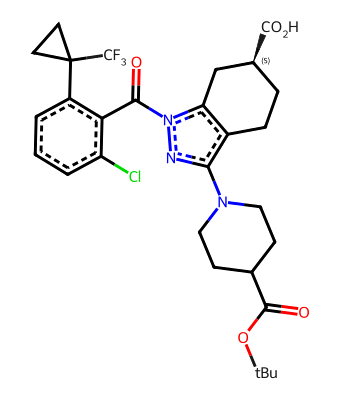 CC(C)(C)OC(=O)C1CCN(c2nn(C(=O)c3c(Cl)cccc3C3(C(F)(F)F)CC3)c3c2CC[C@H](C(=O)O)C3)CC1